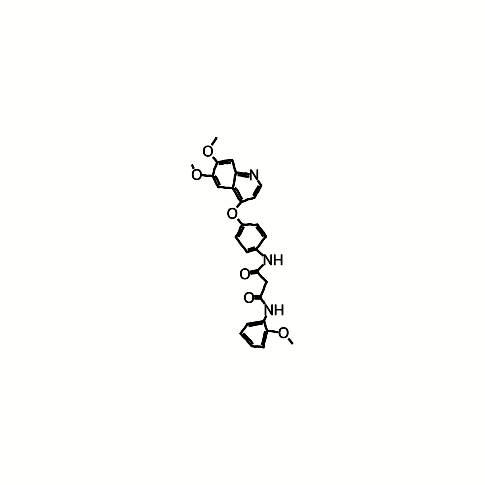 COc1ccccc1NC(=O)CC(=O)Nc1ccc(Oc2ccnc3cc(OC)c(OC)cc23)cc1